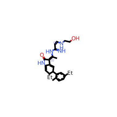 CCc1ccc(C)c(C2C=C3C(=CC2CC)NC(=O)/C3=C(/C)NC(=N)/C=C\NCCO)c1